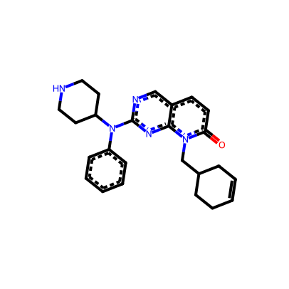 O=c1ccc2cnc(N(c3ccccc3)C3CCNCC3)nc2n1CC1CC=CCC1